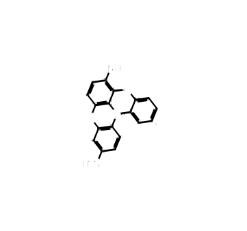 Nc1ccc2c(c1)Oc1ccc(N)c3c1B2c1ccccc1O3